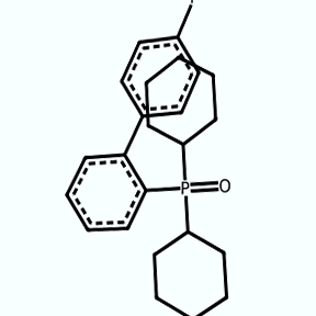 O=P(c1ccccc1-c1ccc(F)cc1)(C1CCCCC1)C1CCCCC1